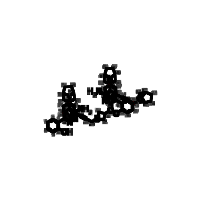 Nc1nnc(-c2ccccc2O)cc1N1CC2CCC(C1)N2c1ccnc(C#CCN2CC(OOc3ccccc3-c3cc(N4CC5CCC(C4)N5c4ccnc(C#CCN5CC6CCC5C6)c4)c(N)nn3)C2)c1